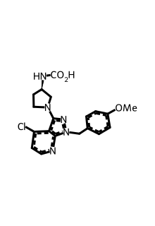 COc1ccc(Cn2nc(N3CC[C@@H](NC(=O)O)C3)c3c(Cl)ccnc32)cc1